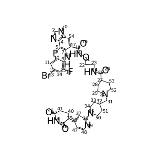 Cn1cnc2c(F)c(Nc3ccc(Br)cc3F)c(C(=O)NOCCNC(=O)C3CCN(CC4CCN(c5cc(C6CCC(=O)NC6=O)ccn5)CC4)CC3)cc21